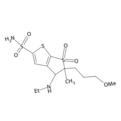 CCNC1c2cc(S(N)(=O)=O)sc2S(=O)(=O)C1(C)CCCOC